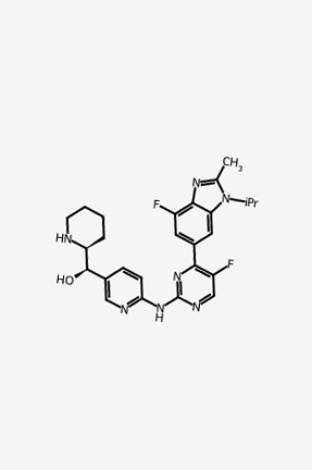 Cc1nc2c(F)cc(-c3nc(Nc4ccc([C@@H](O)[C@@H]5CCCCN5)cn4)ncc3F)cc2n1C(C)C